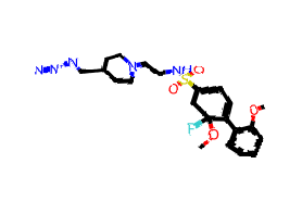 COc1ccccc1C1=CC=C(S(=O)(=O)NCCN2CCC(CN=[N+]=[N-])CC2)CC1(F)OC